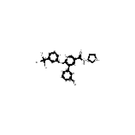 O=C(N[C@@H]1CCOC1)c1cnc(Oc2cccc(C(F)(F)F)c2)c(-c2cccc(F)c2)c1